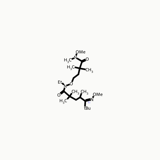 CCN(OCCC(C)(C)C(=O)N(C)OC)C(=O)C(C)(C)CC(C)/C(=N\OC)C(C)(C)C